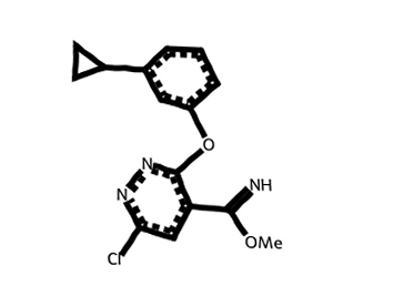 COC(=N)c1cc(Cl)nnc1Oc1cccc(C2CC2)c1